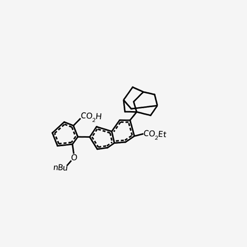 CCCCOc1cccc(C(=O)O)c1-c1ccc2cc(C(=O)OCC)c(C34CC5CC(CC(C5)C3)C4)cc2c1